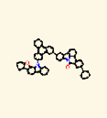 O=c1c2cc(-c3ccccc3)ccc2c2cccc3c4cc(-c5ccc6c7ccccc7c7ccc(-n8c9ccccc9c9ccc%10c%11ccccc%11oc%10c98)cc7c6c5)ccc4n1c23